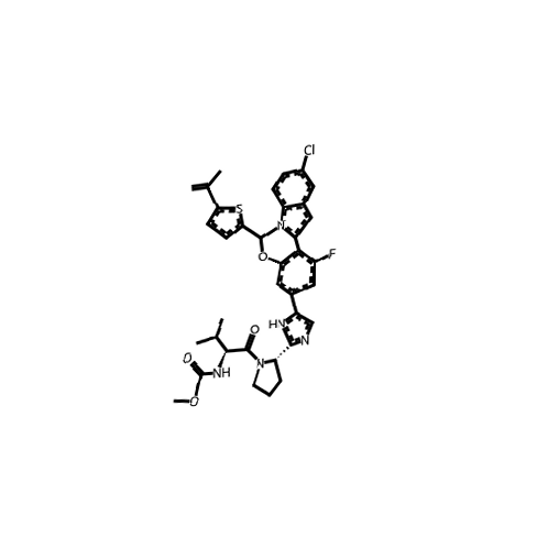 C=C(C)c1ccc(C2Oc3cc(-c4cnc([C@@H]5CCCN5C(=O)[C@@H](NC(=O)OC)C(C)C)[nH]4)cc(F)c3-c3cc4cc(Cl)ccc4n32)s1